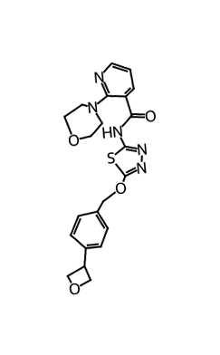 O=C(Nc1nnc(OCc2ccc(C3COC3)cc2)s1)c1cccnc1N1CCOCC1